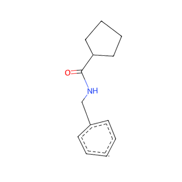 O=C(NCc1cc[c]cc1)C1CCCC1